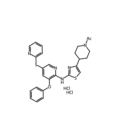 CC(=O)N1CCC(c2csc(Nc3ncc(Sc4ccccn4)cc3Oc3ccccc3)n2)CC1.Cl.Cl